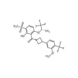 COc1cc(C2CN(C(=O)c3c(O[C@@H](C)C(F)(F)F)ccc(S(C)(=O)=O)c3O)C2)ccc1C(F)(F)F